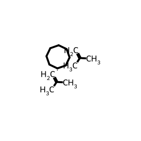 C=C(C)C.C=C(C)C.[CH]1CCCCCCC1